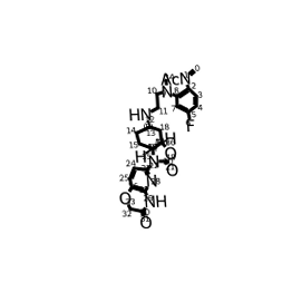 C=Nc1ccc(F)cc1N(CCN[C@@H]1CC[C@@H]2[C@@H](C1)OC(=O)N2c1ccc2c(n1)NC(=O)CO2)C(C)=O